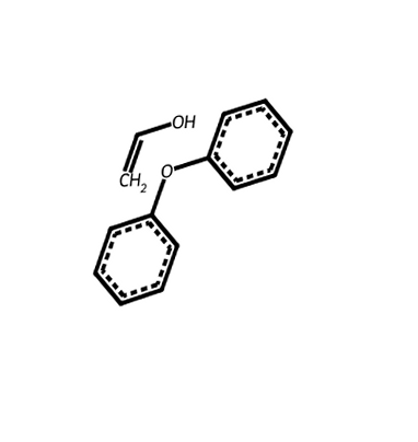 C=CO.c1ccc(Oc2ccccc2)cc1